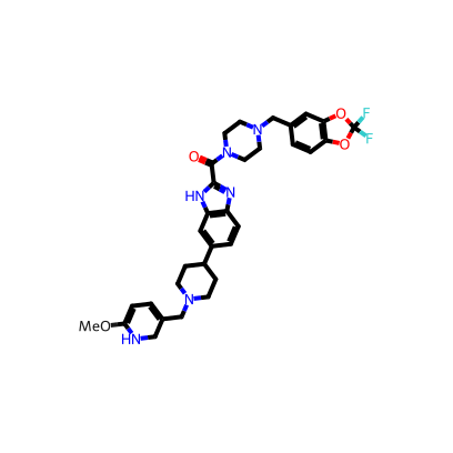 COC1=CC=C(CN2CCC(c3ccc4nc(C(=O)N5CCN(Cc6ccc7c(c6)OC(F)(F)O7)CC5)[nH]c4c3)CC2)CN1